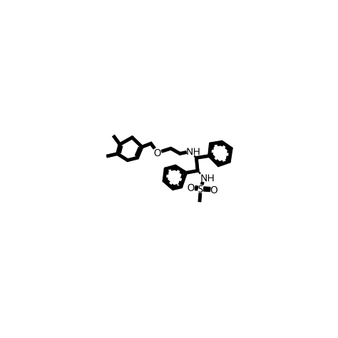 CC1=C(C)CC(COCCN[C@H](c2ccccc2)[C@H](NS(C)(=O)=O)c2ccccc2)=CC1